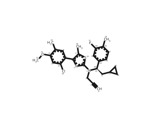 C#CCN(c1nc(-c2cc(C)c(OC)cc2Cl)c(C)s1)[C@H](CC1CC1)c1ccc(C)c(F)c1